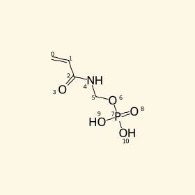 C=CC(=O)NCOP(=O)(O)O